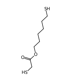 O=C(CS)OCCCCCCS